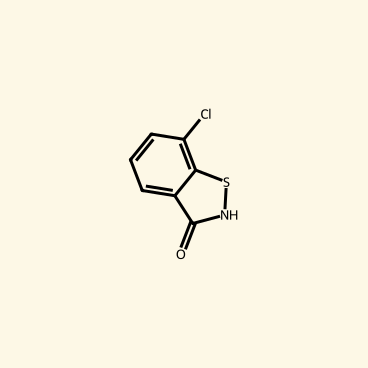 O=c1[nH]sc2c(Cl)cccc12